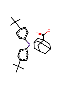 CC(C)(C)c1ccc([I+]c2ccc(C(C)(C)C)cc2)cc1.O=C([O-])C12CC3CC(CC(C3)C1)C2